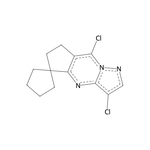 Clc1cnn2c(Cl)c3c(nc12)C1(CCCC1)CC3